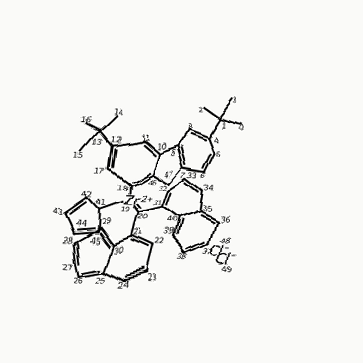 CC(C)(C)c1ccc2c(c1)-c1cc(C(C)(C)C)c[c]([Zr+2](=[C](c3cccc4ccccc34)c3cccc4ccccc34)[CH]3C=CC=C3)c1C2.[Cl-].[Cl-]